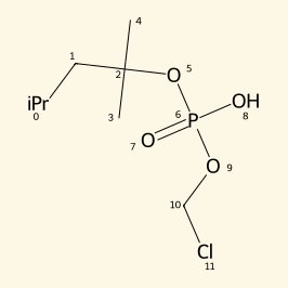 CC(C)CC(C)(C)OP(=O)(O)OCCl